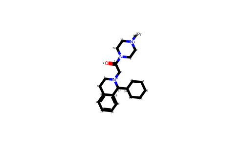 CC(C)N1CCN(C(=O)CN2CCc3ccccc3C2C2CCCCC2)CC1